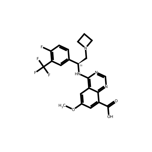 COc1cc(C(=O)O)c2ncnc(N[C@H](CN3CCC3)c3ccc(F)c(C(F)(F)F)c3)c2c1